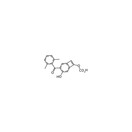 Cc1cccc(C)c1C(=O)c1cc2c(cc1O)C(OC(=O)O)=C2